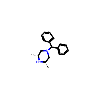 C[C@@H]1CN(C(c2ccccc2)c2ccccc2)C[C@H](C)N1